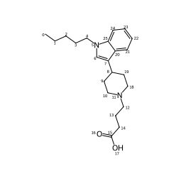 CCCCCn1cc(C2CCN(CCCC(=O)O)CC2)c2ccccc21